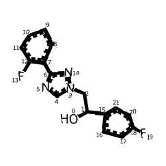 OC(Cn1cnc(-c2ccccc2F)n1)c1ccc(F)cc1